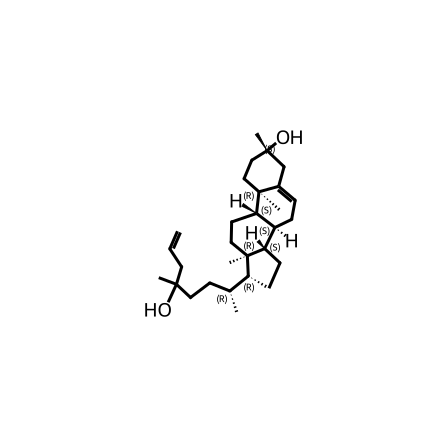 C=CCC(C)(O)CC[C@@H](C)[C@H]1CC[C@H]2[C@@H]3CC=C4C[C@@](C)(O)CC[C@]4(C)[C@H]3CC[C@]12C